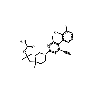 Cc1cccc(-c2c(C)nc(N3CCC(C)(CC(C)(C)OC(N)=O)CC3)nc2C#N)c1Cl